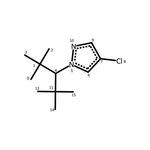 CC(C)(C)C(n1cc(Cl)cn1)C(C)(C)C